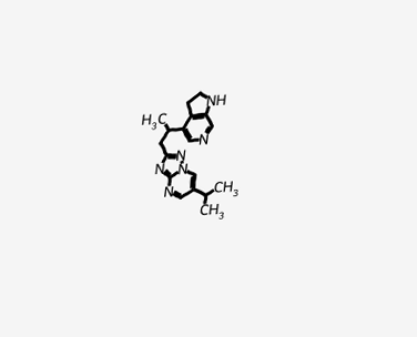 CC(C)c1cnc2nc(CC(C)c3cncc4c3CCN4)nn2c1